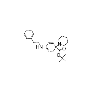 CC(C)(C)OC(=O)C1(N2CCCCC2)C=CC(NCCc2ccccc2)=CC1